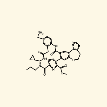 CCCNC(=O)c1ccc(-c2cc3c(cc2C(=O)Nc2ccc(CN)cc2CC(=O)NCC2CC2)-c2sccc2CCO3)c(C(=O)OC)n1